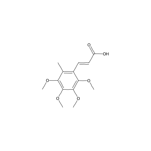 COc1c(C)c(C=CC(=O)O)c(OC)c(OC)c1OC